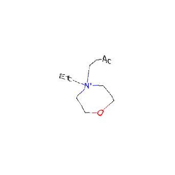 CC[N+]1(CC(C)=O)CCOCC1